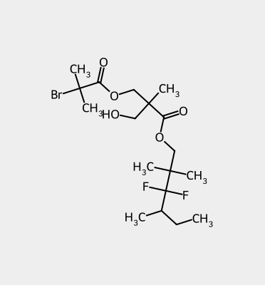 CCC(C)C(F)(F)C(C)(C)COC(=O)C(C)(CO)COC(=O)C(C)(C)Br